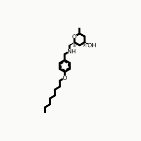 CCCCCCCCOc1ccc(CNC[C@@H]2C[C@H](O)CC(C)O2)cc1